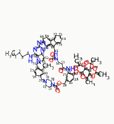 CCCCCNc1nc(N)nc2ccn(Cc3ccc(CN4CCN(C(=O)OCc5ccc(O[C@@H]6O[C@H](C)[C@@H](OC(C)=O)[C@H](OC(C)=O)[C@H]6OC(C)=O)c(NC(=O)CCNC(=O)OCC6c7ccccc7-c7ccccc76)c5)CC4)cc3C)c12